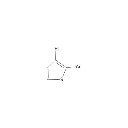 CCc1ccsc1C(C)=O